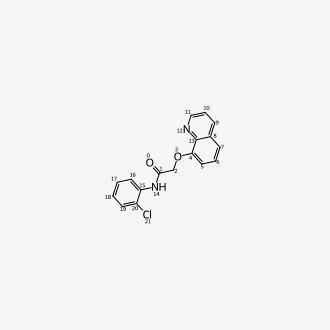 O=C(COc1cccc2cccnc12)Nc1ccccc1Cl